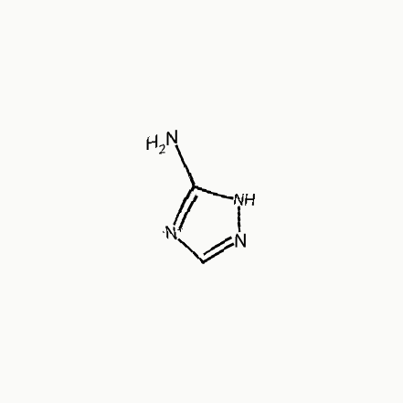 NC1=[N+]C=NN1